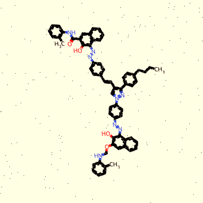 CCCCc1ccc(-c2nn(-c3ccc(N=Nc4c(O)c(OCNc5ccccc5C)cc5ccccc45)cc3)cc2C=Cc2ccc(N=Nc3c(O)c(C(=O)Nc4ccccc4C)cc4ccccc34)cc2)cc1